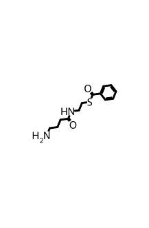 NCCCC(=O)NCCSC(=O)c1ccccc1